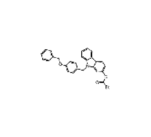 CCC(=O)Oc1ccc2c3ccccc3n(Cc3ccc(OCc4ccccc4)cc3)c2c1